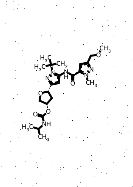 COCc1cc(C(=O)Nc2cc([C@@H]3C[C@H](OC(=O)NC(C)C)CO3)nn2C(C)(C)C)n(C)n1